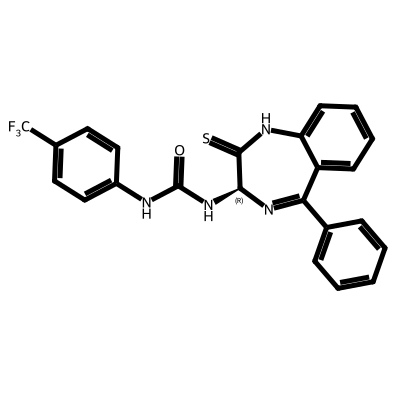 O=C(Nc1ccc(C(F)(F)F)cc1)N[C@@H]1N=C(c2ccccc2)c2ccccc2NC1=S